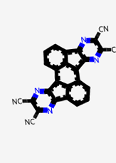 N#Cc1nc2c3cccc4c3c(c3cccc5c6nc(C#N)c(C#N)nc6c4c53)c2nc1C#N